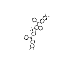 Cc1cc2ccc(C(c3ccccc3)c3cc4c(c5ccccc35)-c3ccc(N(c5ccccc5)c5ccc6cc(C)c(C)cc6c5)cc3C4(C)C)cc2cc1C